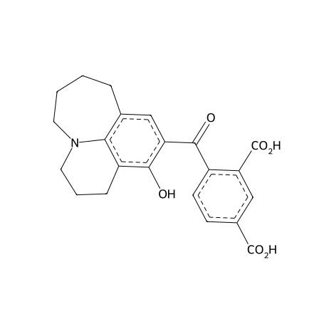 O=C(O)c1ccc(C(=O)c2cc3c4c(c2O)CCCN4CCCC3)c(C(=O)O)c1